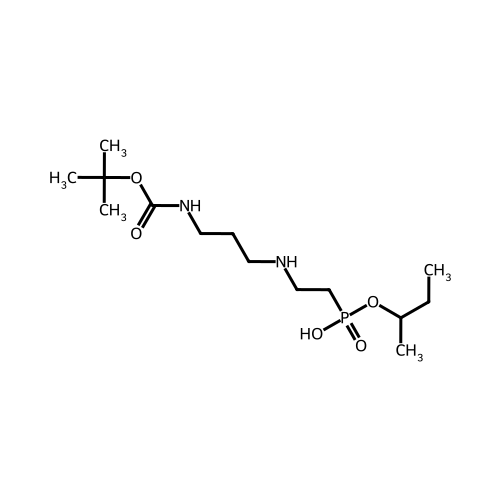 CCC(C)OP(=O)(O)CCNCCCNC(=O)OC(C)(C)C